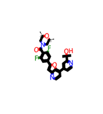 C[C@@H]1CN(C(=O)c2c(F)cc(-c3cc4nccc(-c5ccnc(C(C)(C)O)c5)c4o3)cc2F)C[C@H](C)O1